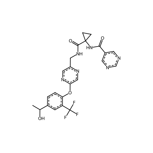 CC(O)c1ccc(Oc2cnc(CNC(=O)C3(NC(=O)c4cncnc4)CC3)cn2)c(C(F)(F)F)c1